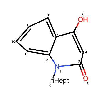 CCCCCCCn1c(=O)cc(O)c2ccccc21